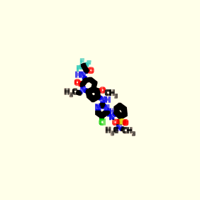 CCN1C(=O)C(NC(=O)C(F)(F)F)CCc2c1ccc(Nc1ncc(Cl)c(Nc3ccccc3S(=O)(=O)N(C)C)n1)c2OC